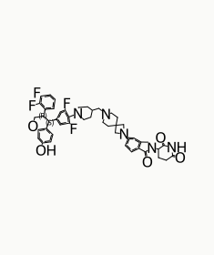 O=C1CCC(N2Cc3cc(N4CC5(CCN(CC6CCN(c7c(F)cc([C@H]8c9ccc(O)cc9OC[C@H]8c8cccc(F)c8F)cc7F)CC6)CC5)C4)ccc3C2=O)C(=O)N1